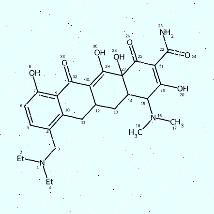 CCN(CC)Cc1ccc(O)c2c1CC1CC3C(N(C)C)C(O)=C(C(N)=O)C(=O)C3(O)C(O)=C1C2=O